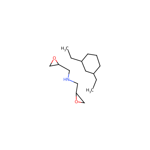 C(NCC1CO1)C1CO1.CCC1CCCC(CC)C1